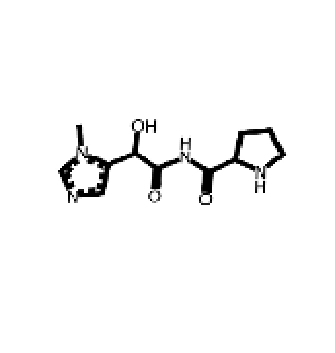 Cn1cncc1C(O)C(=O)NC(=O)C1CCCN1